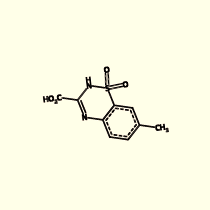 Cc1ccc2c(c1)S(=O)(=O)NC(C(=O)O)=N2